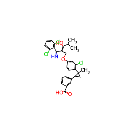 CC(C)/C(O)=C(\COc1ccc(C2(C)CC2c2cccc(C(=O)O)c2)c(Cl)c1)C(=N)c1c(Cl)cccc1Cl